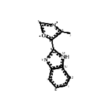 Cc1ncoc1-c1nc2ccccc2[nH]1